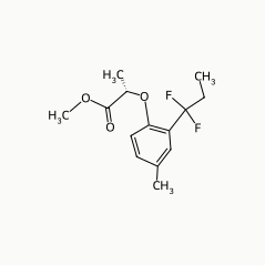 CCC(F)(F)c1cc(C)ccc1O[C@@H](C)C(=O)OC